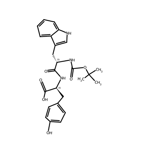 CC(C)(C)OC(=O)N[C@@H](Cc1c[nH]c2ccccc12)C(=O)N[C@@H](Cc1ccc(O)cc1)C(=O)O